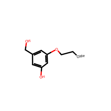 COCCOc1cc(O)cc(CO)c1